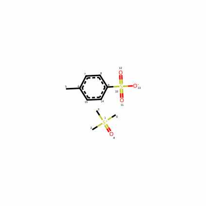 C[S+](C)(C)=O.Cc1ccc(S(=O)(=O)[O-])cc1